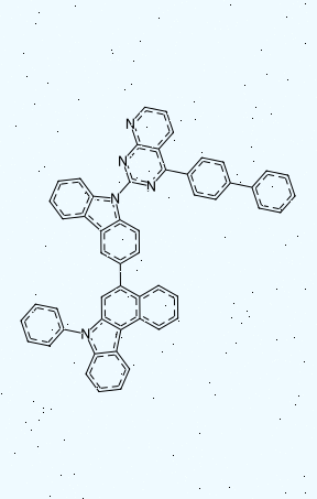 c1ccc(-c2ccc(-c3nc(-n4c5ccccc5c5cc(-c6cc7c(c8ccccc68)c6ccccc6n7-c6ccccc6)ccc54)nc4ncccc34)cc2)cc1